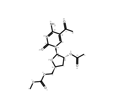 COC(=O)OC[C@@H]1C[C@@H](OC(C)=O)[C@H](n2cc(C(C)=O)c(N)nc2=O)O1